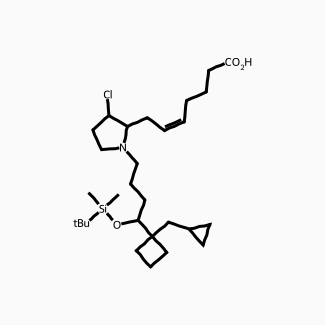 CC(C)(C)[Si](C)(C)OC(CCCN1CCC(Cl)C1C/C=C\CCCC(=O)O)C1(CC2CC2)CCC1